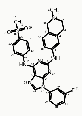 CN1CCc2cc(Nc3nc(Nc4ccc(S(C)(=O)=O)cc4)c4ncn(-c5cccc(F)c5)c4n3)ccc2C1